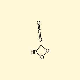 C1OOP1.O=C=O